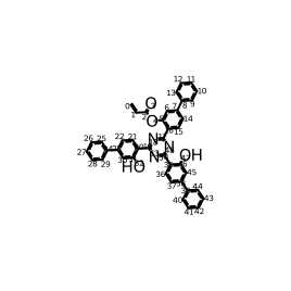 C=CC(=O)Oc1cc(-c2ccccc2)ccc1-c1nc(-c2ccc(-c3ccccc3)cc2O)nc(-c2ccc(-c3ccccc3)cc2O)n1